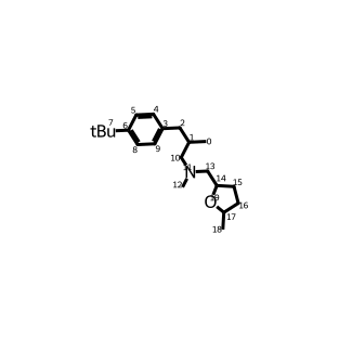 CC(Cc1ccc(C(C)(C)C)cc1)CN(C)CC1CCC(C)O1